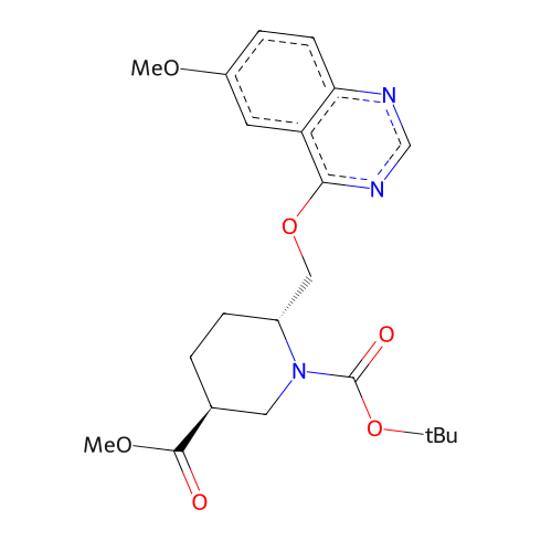 COC(=O)[C@H]1CC[C@H](COc2ncnc3ccc(OC)cc23)N(C(=O)OC(C)(C)C)C1